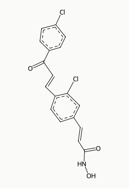 O=C(C=Cc1ccc(C=CC(=O)c2ccc(Cl)cc2)c(Cl)c1)NO